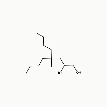 CCCCC(C)(CCCC)CC(O)CO